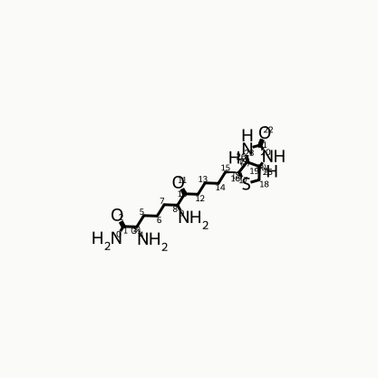 NC(=O)[C@@H](N)CCCC(N)C(=O)CCCC[C@@H]1SC[C@@H]2NC(=O)N[C@@H]21